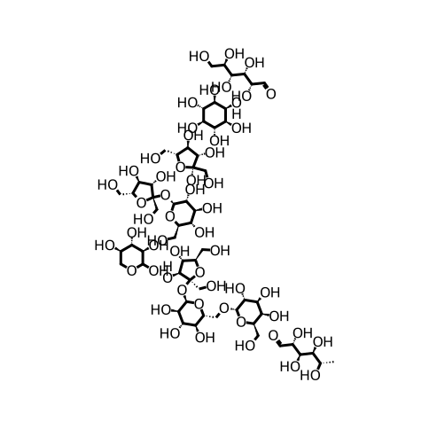 C[C@H](O)[C@H](O)[C@@H](O)[C@@H](O)C=O.O=C[C@H](O)[C@@H](O)[C@H](O)[C@H](O)CO.OC1OC[C@@H](O)[C@H](O)[C@H]1O.OC[C@H]1O[C@@](CO)(O[C@H]2O[C@H](CO)[C@@H](O)[C@H](O)[C@H]2O)[C@@H](O)[C@@H]1O.OC[C@H]1O[C@H](OC[C@H]2O[C@H](O[C@]3(CO)O[C@H](CO)[C@@H](O)[C@@H]3O)[C@H](O)[C@@H](O)[C@@H]2O)[C@H](O)[C@@H](O)[C@H]1O.OC[C@H]1O[C@](O)(CO)[C@@H](O)[C@@H]1O.O[C@H]1[C@H](O)[C@@H](O)[C@H](O)[C@@H](O)[C@H]1O